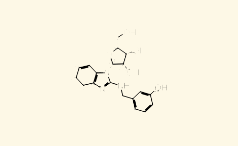 OC[C@H]1O[C@@H](n2c(NCc3cccc(O)c3)nc3c2C=CCC3)[C@H](O)[C@@H]1O